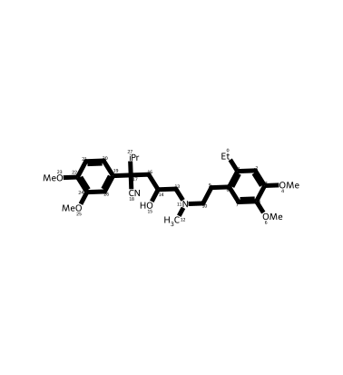 CCc1cc(OC)c(OC)cc1CCN(C)CC(O)CC(C#N)(c1ccc(OC)c(OC)c1)C(C)C